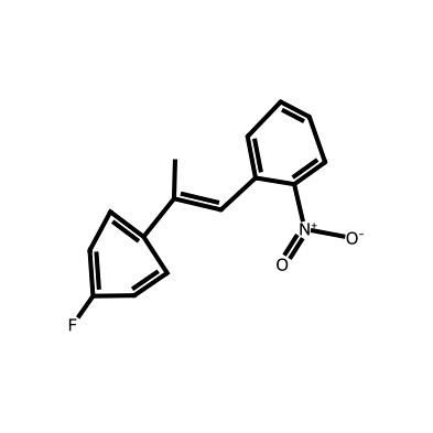 CC(=Cc1ccccc1[N+](=O)[O-])c1ccc(F)cc1